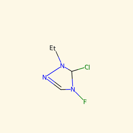 CCN1N=CN(F)C1Cl